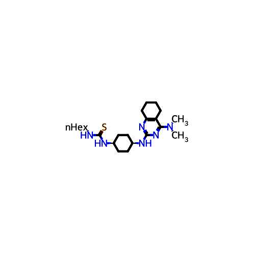 CCCCCCNC(=S)N[C@H]1CC[C@@H](Nc2nc3c(c(N(C)C)n2)CCCC3)CC1